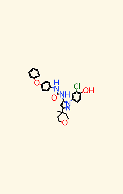 CC1(c2cc(NC(=O)Nc3ccc(Oc4ccccc4)cc3)n(-c3ccc(O)c(Cl)c3)n2)CCOCC1